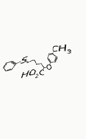 Cc1ccc(OC(CCCCSc2ccccc2)C(=O)O)cc1